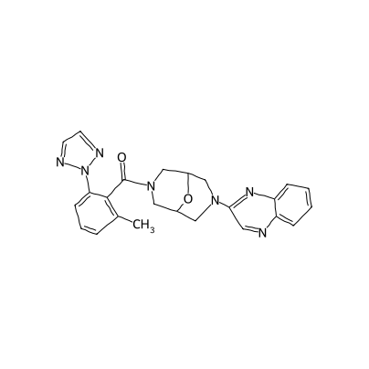 Cc1cccc(-n2nccn2)c1C(=O)N1CC2CN(c3cnc4ccccc4n3)CC(C1)O2